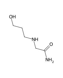 NC(=O)CNCCCO